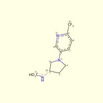 O=C(O)N[C@H]1CCN(c2ccc(C(F)(F)F)nc2)C1